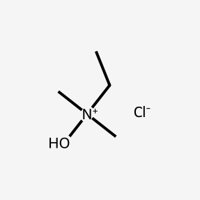 CC[N+](C)(C)O.[Cl-]